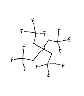 FC(F)(F)C[Si](CC(F)(F)F)(CC(F)(F)F)CC(F)(F)F